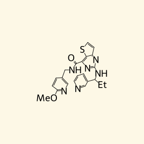 CCC(Nc1nc(C(=O)NCc2ccc(OC)nc2)c2sccc2n1)c1cccnc1